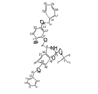 CC(C)(C)OC(=O)NC(COc1cc(OCc2ccccc2)ccc1Br)c1ccc(OCc2ccccc2)cc1